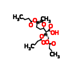 CCCC(=O)OC[C@H](OC(=O)CCC)C(C(=O)O)C1CC[C@H](OC(=O)CCC)[C@H](C)O1